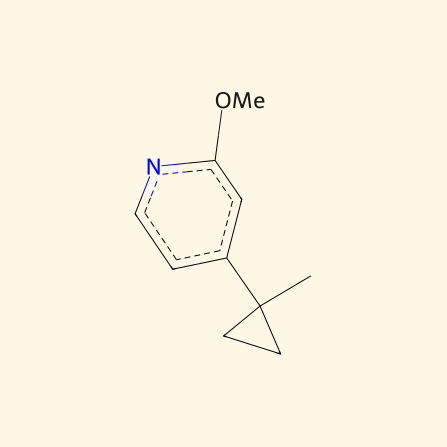 COc1cc(C2(C)CC2)ccn1